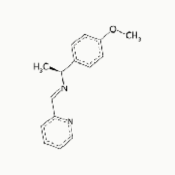 COc1ccc([C@H](C)/N=C/c2ccccn2)cc1